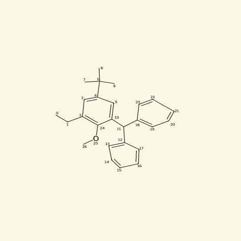 CCc1cc(C(C)(C)C)cc(C(c2ccccc2)c2ccccc2)c1OC